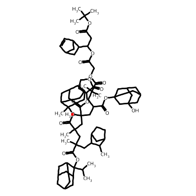 CC1C2CCC(C2)C1CC(C)(CC(C)(CC(C)(CC(CC(C)(C)C(=O)OCC(=O)OC(CC(=O)OC(C)(C)C)C1CC2C=CC1C2)C(=O)OC12CC3CC(CC(O)(C3)C1)C2)C(=O)OC1CCOC1=O)C(=O)OC1(C)C2CC3CC(C2)CC1C3)C(=O)OC1(C(C)C)C2CC3CC(C2)CC1C3